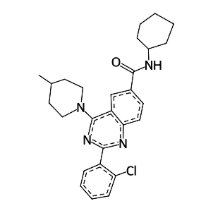 CC1CCN(c2nc(-c3ccccc3Cl)nc3ccc(C(=O)NC4CCCCC4)cc23)CC1